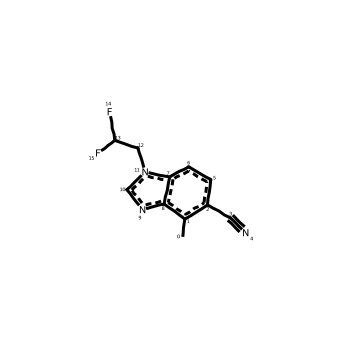 Cc1c(C#N)ccc2c1ncn2CC(F)F